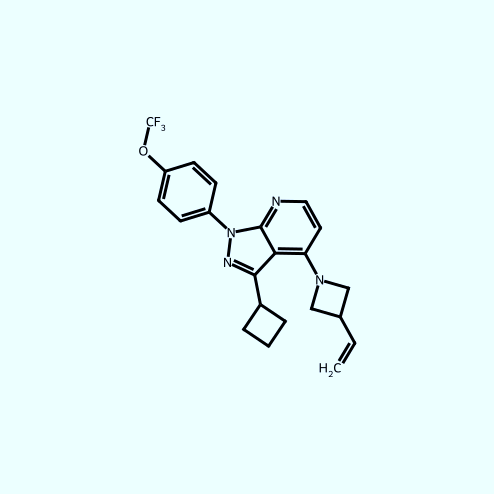 C=CC1CN(c2ccnc3c2c(C2CCC2)nn3-c2ccc(OC(F)(F)F)cc2)C1